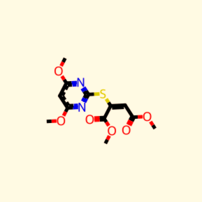 COC(=O)C=C(Sc1nc(OC)cc(OC)n1)C(=O)OC